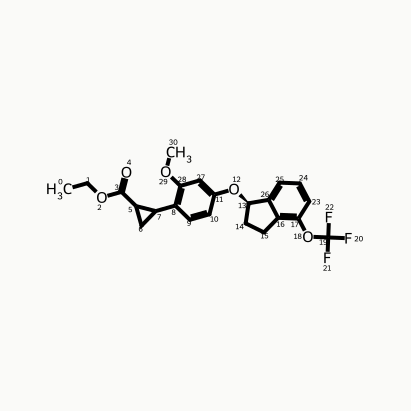 CCOC(=O)C1CC1c1ccc(O[C@@H]2CCc3c(OC(F)(F)F)cccc32)cc1OC